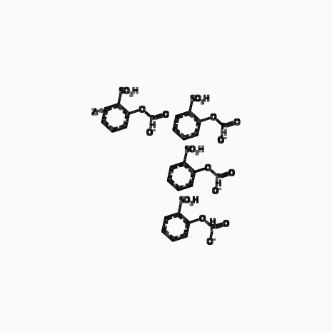 O=[PH]([O-])Oc1ccccc1S(=O)(=O)O.O=[PH]([O-])Oc1ccccc1S(=O)(=O)O.O=[PH]([O-])Oc1ccccc1S(=O)(=O)O.O=[PH]([O-])Oc1ccccc1S(=O)(=O)O.[Zr+4]